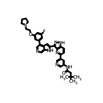 CC(C)(C)CC(=O)Nc1cncc(-c2ccc3[nH]nc(-c4cc5c(-c6cc(F)cc(OCCN7CCCC7)c6)cncc5[nH]4)c3n2)c1